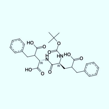 CC(C)(C)OC(=O)N[C@@H](CC(Cc1ccccc1)C(=O)O)C(=O)N[C@H](C(=O)O)C(Cc1ccccc1)C(=O)O